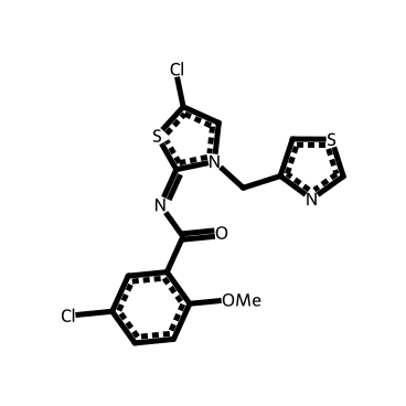 COc1ccc(Cl)cc1C(=O)N=c1sc(Cl)cn1Cc1cscn1